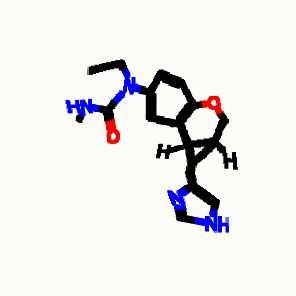 CCN(C(=O)NC)c1ccc2c(c1)[C@H]1C(c3c[nH]cn3)[C@H]1CO2